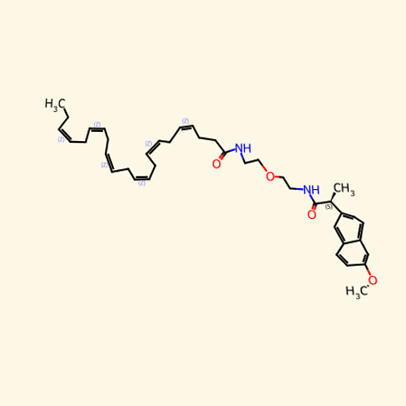 CC/C=C\C/C=C\C/C=C\C/C=C\C/C=C\C/C=C\CCC(=O)NCCOCCNC(=O)[C@@H](C)c1ccc2cc(OC)ccc2c1